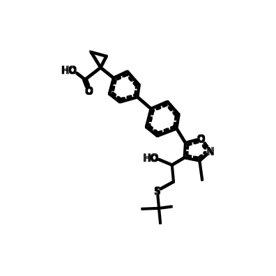 Cc1noc(-c2ccc(-c3ccc(C4(C(=O)O)CC4)cc3)cc2)c1C(O)CSC(C)(C)C